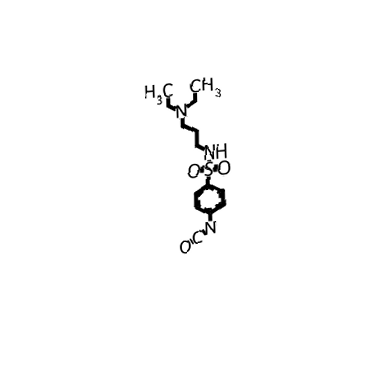 CCN(CC)CCCNS(=O)(=O)c1ccc(N=C=O)cc1